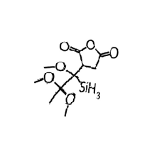 COC(C)(OC)C([SiH3])(OC)C1CC(=O)OC1=O